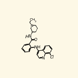 CCN1CCCC(NC(=O)c2ccccc2Nc2ccnc3c(Cl)cccc23)C1